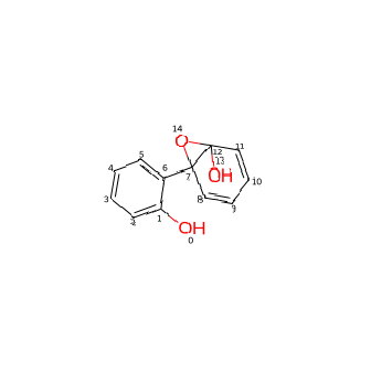 Oc1ccccc1C12C=CC=CC1(O)O2